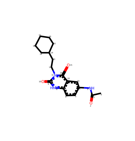 CC(=O)Nc1ccc2[nH]c(=O)n(CCC3CCCCC3)c(=O)c2c1